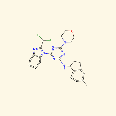 Cc1ccc2c(c1)CCC2Nc1nc(N2CCOCC2)nc(-n2c(C(F)F)nc3ccccc32)n1